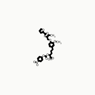 COc1cc(CCCC(OC(=O)Oc2ccc([N+](=O)[O-])cc2)C(=O)O)ccc1OCc1nc(-c2ccco2)oc1C